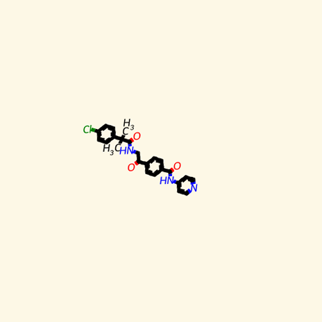 CC(C)(C(=O)NCC(=O)c1ccc(C(=O)Nc2ccncc2)cc1)c1ccc(Cl)cc1